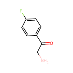 BCC(=O)c1ccc(F)cc1